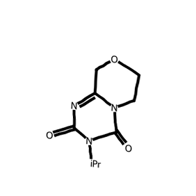 CC(C)n1c(=O)nc2n(c1=O)CCOC2